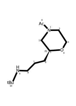 CC(=O)N1CCO[C@@H](CCCNC(C)(C)C)C1